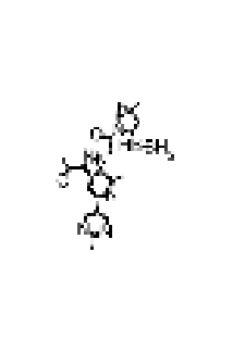 BBC1CC2(C)CC2N1C(=O)Cn1nc(C(C)=O)c2cc(-c3cnc(C)nc3)nc(C)c21